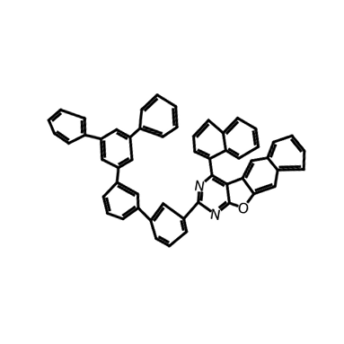 c1ccc(-c2cc(-c3ccccc3)cc(-c3cccc(-c4cccc(-c5nc(-c6cccc7ccccc67)c6c(n5)oc5cc7ccccc7cc56)c4)c3)c2)cc1